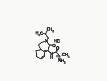 CC(C)CN1CCC2CCC=CC2=C(NC(=O)[C@H](C)N)C1=O.Cl